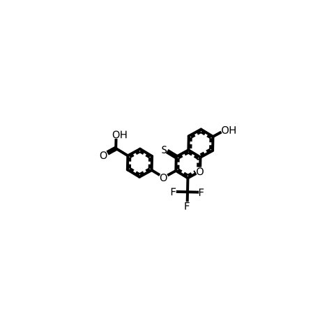 O=C(O)c1ccc(Oc2c(C(F)(F)F)oc3cc(O)ccc3c2=S)cc1